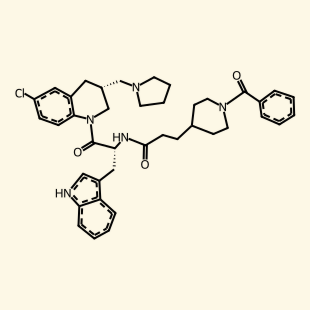 O=C(CCC1CCN(C(=O)c2ccccc2)CC1)N[C@H](Cc1c[nH]c2ccccc12)C(=O)N1C[C@@H](CN2CCCC2)Cc2cc(Cl)ccc21